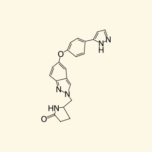 O=C1CCC(Cn2cc3cc(Oc4ccc(-c5ccn[nH]5)cc4)ccc3n2)N1